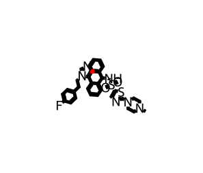 CN1CCN(c2ncc(S(=O)(=O)NC(c3ccccc3)c3ccccc3-c3cncn3CCc3ccc(F)cc3)s2)CC1